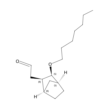 CCCCCCCO[C@H]1[C@H]2CC[C@H](C2)[C@H]1CC=O